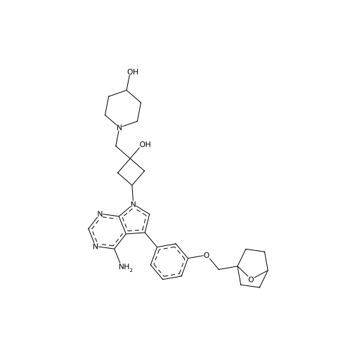 Nc1ncnc2c1c(-c1cccc(OCC34CCC(CC3)O4)c1)cn2C1CC(O)(CN2CCC(O)CC2)C1